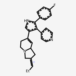 CC/C=C1/CC2C=C(c3c[nH]c(-c4ccc(F)cc4)c3-c3ccncc3)CCN2C1